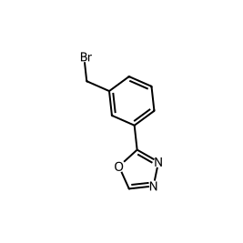 BrCc1cccc(-c2nnco2)c1